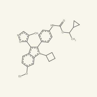 CCOc1ccc2c(-c3oncc3C)c(-c3ccc(NC(=O)OC(C)C4CC4)cc3)n(C3CCC3)c2c1